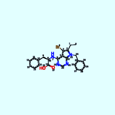 CCc1c(Br)c2c(N[C@H](Cc3ccccc3)C(=O)O)ncnc2n1Cc1ccccc1